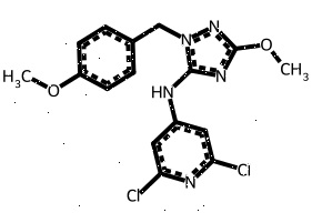 COc1ccc(Cn2nc(OC)nc2Nc2cc(Cl)nc(Cl)c2)cc1